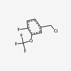 Fc1ccc(CCl)cc1OC(F)(F)F